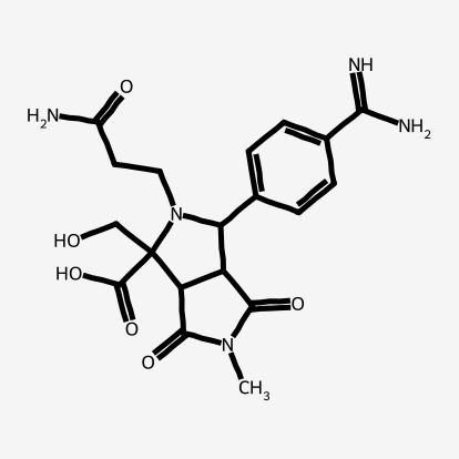 CN1C(=O)C2C(c3ccc(C(=N)N)cc3)N(CCC(N)=O)C(CO)(C(=O)O)C2C1=O